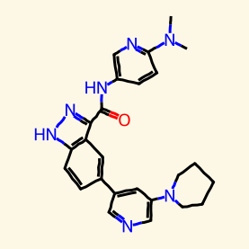 CN(C)c1ccc(NC(=O)c2n[nH]c3ccc(-c4cncc(N5CCCCC5)c4)cc23)cn1